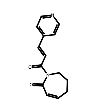 O=C1C=CCCCN1C(=O)C=Cc1ccncc1